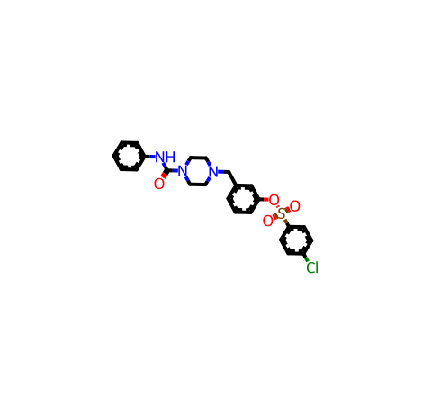 O=C(Nc1ccccc1)N1CCN(Cc2cccc(OS(=O)(=O)c3ccc(Cl)cc3)c2)CC1